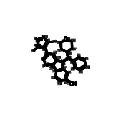 Cc1nnn(C)c1-c1cnc2c3ccc(C#N)cc3n([C@H](c3ccccc3)C3CCOCC3)c2c1